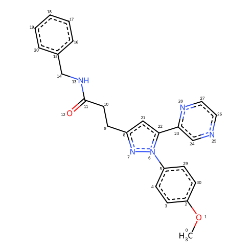 COc1ccc(-n2nc(CCC(=O)NCc3ccccc3)cc2-c2cnccn2)cc1